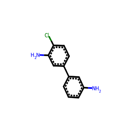 Nc1cccc(-c2ccc(Cl)c(N)c2)c1